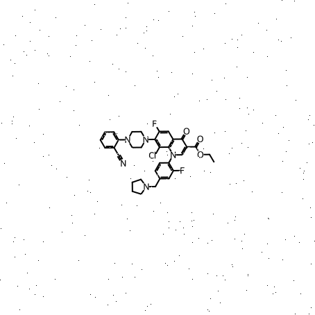 CCOC(=O)c1cn(-c2ccc(CN3CCCC3)cc2F)c2c(Cl)c(N3CCN(c4ccccc4C#N)CC3)c(F)cc2c1=O